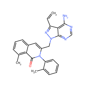 C=Cc1nn(Cc2cc3cccc(C)c3c(=O)n2-c2ccccc2C)c2ncnc(N)c12